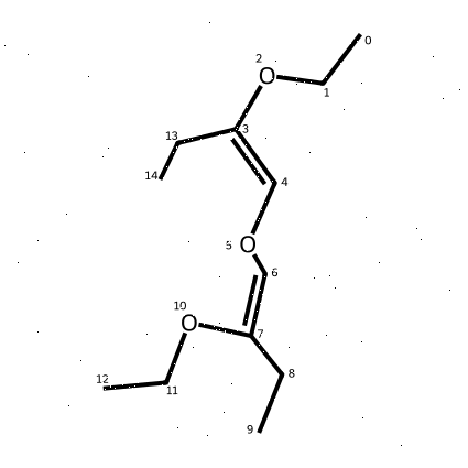 CCOC(=COC=C(CC)OCC)CC